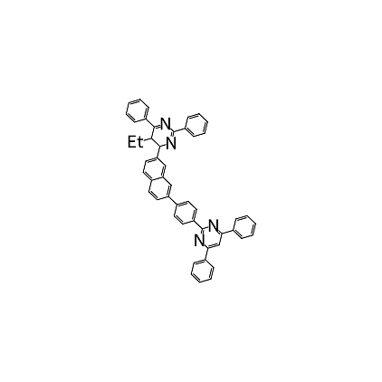 CCC1C(c2ccccc2)=NC(c2ccccc2)=NC1c1ccc2ccc(-c3ccc(-c4nc(-c5ccccc5)cc(-c5ccccc5)n4)cc3)cc2c1